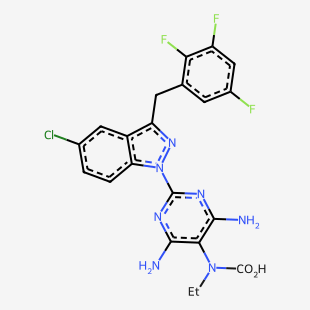 CCN(C(=O)O)c1c(N)nc(-n2nc(Cc3cc(F)cc(F)c3F)c3cc(Cl)ccc32)nc1N